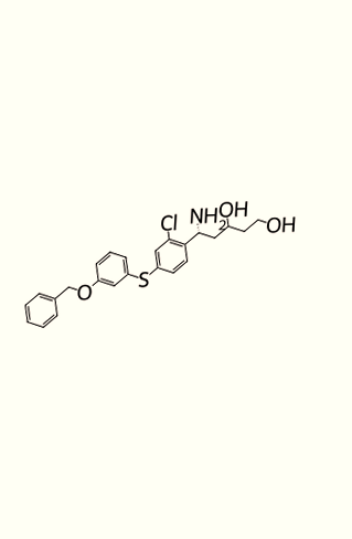 N[C@H](CC(O)CCO)c1ccc(Sc2cccc(OCc3ccccc3)c2)cc1Cl